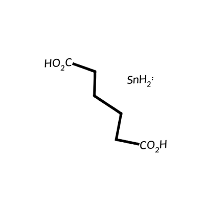 O=C(O)CCCCC(=O)O.[SnH2]